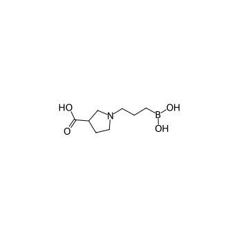 O=C(O)C1CCN(CCCB(O)O)C1